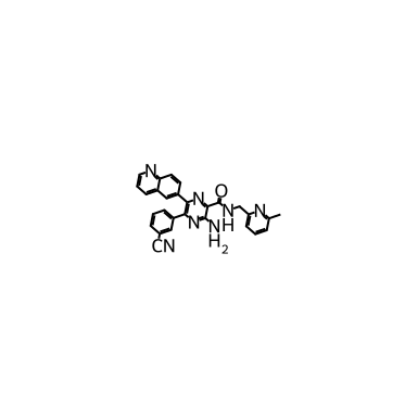 Cc1cccc(CNC(=O)c2nc(-c3ccc4ncccc4c3)c(-c3cccc(C#N)c3)nc2N)n1